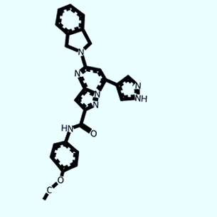 CCOc1ccc(NC(=O)c2cc3nc(N4Cc5ccccc5C4)cc(-c4cn[nH]c4)n3n2)cc1